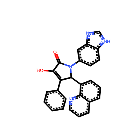 O=C1C(O)=C(c2ccccc2)C(c2cccc3cccnc23)N1c1ccc2[nH]cnc2c1